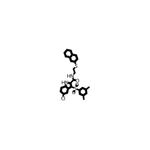 Cc1cc(C)cc(S(=O)(=O)c2c(C(=O)NCCSc3ccc4ccccc4c3)[nH]c3ccc(Cl)cc23)c1